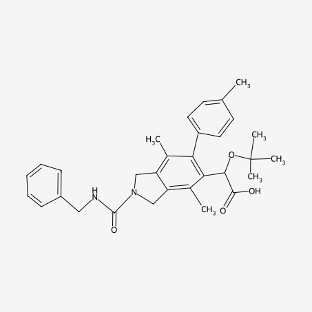 Cc1ccc(-c2c(C)c3c(c(C)c2C(OC(C)(C)C)C(=O)O)CN(C(=O)NCc2ccccc2)C3)cc1